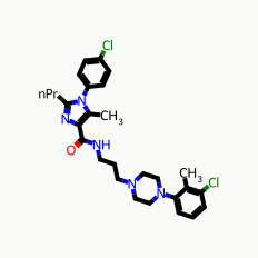 CCCc1nc(C(=O)NCCCN2CCN(c3cccc(Cl)c3C)CC2)c(C)n1-c1ccc(Cl)cc1